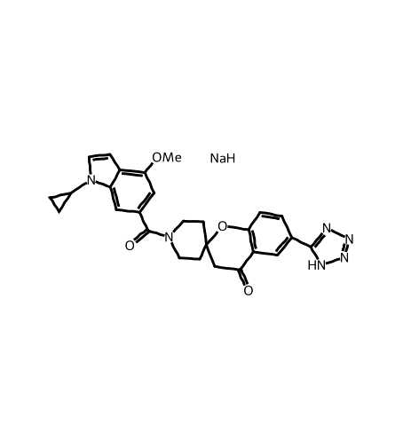 COc1cc(C(=O)N2CCC3(CC2)CC(=O)c2cc(-c4nnn[nH]4)ccc2O3)cc2c1ccn2C1CC1.[NaH]